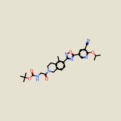 Cc1c(-c2noc(-c3cnc(OC(C)C)c(C#N)c3)n2)ccc2c1CCN(C(=O)CNC(=O)OC(C)(C)C)C2